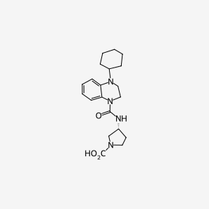 O=C(O)N1CC[C@@H](NC(=O)N2CCN(C3CCCCC3)c3ccccc32)C1